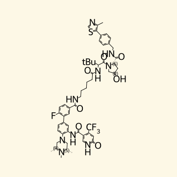 Cc1ncsc1-c1ccc(CNC(=O)[C@@H]2C[C@@H](O)CN2C(=O)C(NC(=O)CCCCCNC(=O)c2ccc(F)c(-c3ccc(N4C[C@@H](C)N(C)[C@@H](C)C4)c(NC(=O)c4c[nH]c(=O)cc4C(F)(F)F)c3)c2)C(C)(C)C)cc1